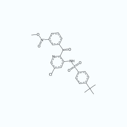 CO[N+](=O)c1cccc(C(=O)c2ncc(Cl)cc2NS(=O)(=O)c2ccc(C(C)(C)C)cc2)c1